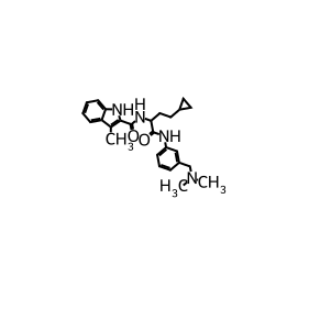 Cc1c(C(=O)NC(CCC2CC2)C(=O)Nc2cccc(CN(C)C)c2)[nH]c2ccccc12